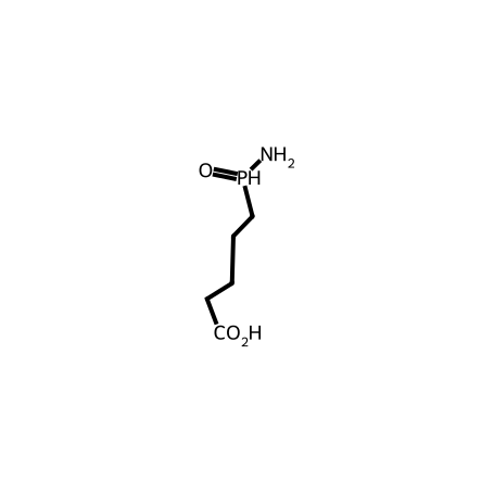 N[PH](=O)CCCCC(=O)O